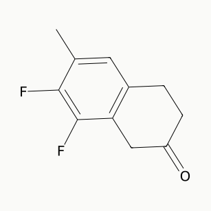 Cc1cc2c(c(F)c1F)CC(=O)CC2